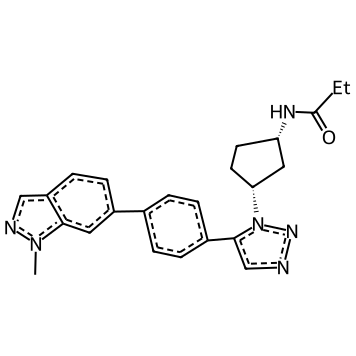 CCC(=O)N[C@H]1CC[C@@H](n2nncc2-c2ccc(-c3ccc4cnn(C)c4c3)cc2)C1